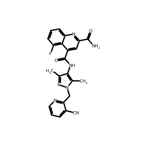 Cc1nn(Cc2ncccc2C#N)c(C)c1NC(=O)c1cc(C(N)=O)nc2cccc(F)c12